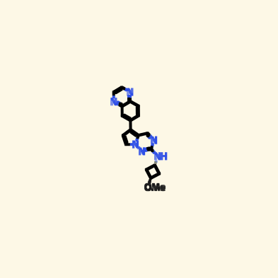 CO[C@H]1C[C@H](Nc2ncc3c(-c4ccc5nccnc5c4)ccn3n2)C1